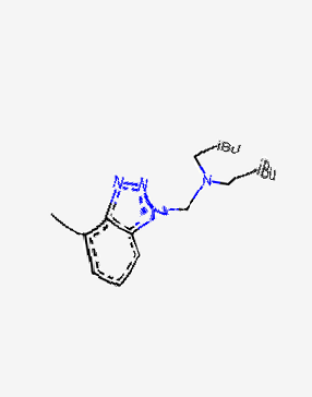 CCC(C)CN(CC(C)CC)Cn1nnc2c(C)cccc21